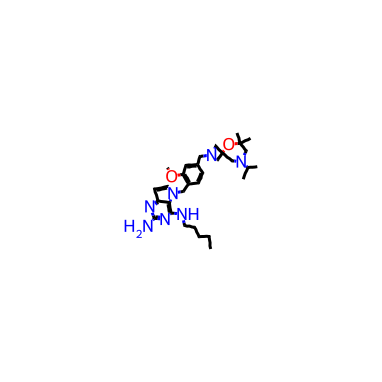 CCCCCNc1nc(N)nc2ccn(Cc3ccc(CN4CC5(C4)CN(C(C)C)CC(C)(C)O5)cc3OC)c12